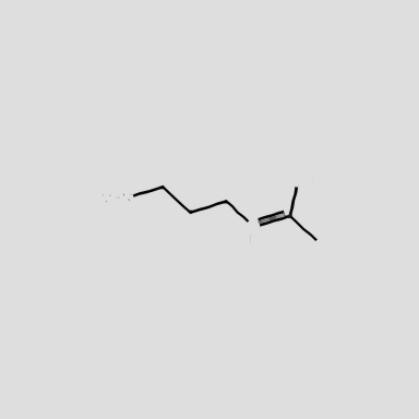 CNCCC[SH]=C(C)O